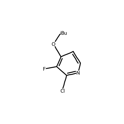 CCC(C)Oc1ccnc(Cl)c1F